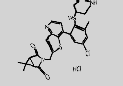 Cc1cc(Cl)cc(-c2ccnc3cc(CN4C(=O)C5C(C4=O)C5(C)C)sc23)c1NC1CCNC1.Cl